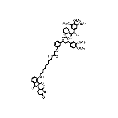 CC[C@H](C(=O)N1CCCC[C@H]1C(=O)OC(CCc1ccc(OC)c(OC)c1)c1cccc(OCC(=O)NCCCCCCCCNc2cccc3c2C(=O)N(C2CCC(=O)NC2=O)C3=O)c1)c1cc(OC)c(OC)c(OC)c1